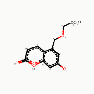 [O]c1cc(COCC(=O)O)c2ccc(=O)oc2c1